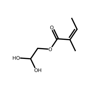 CC=C(C)C(=O)OCC(O)O